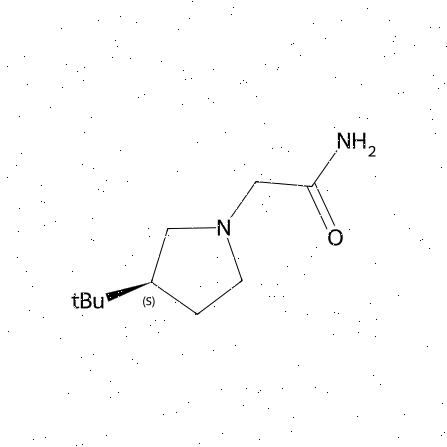 CC(C)(C)[C@@H]1CCN(CC(N)=O)C1